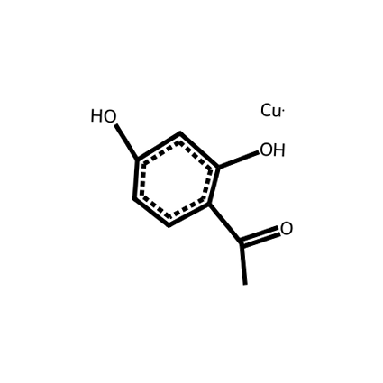 CC(=O)c1ccc(O)cc1O.[Cu]